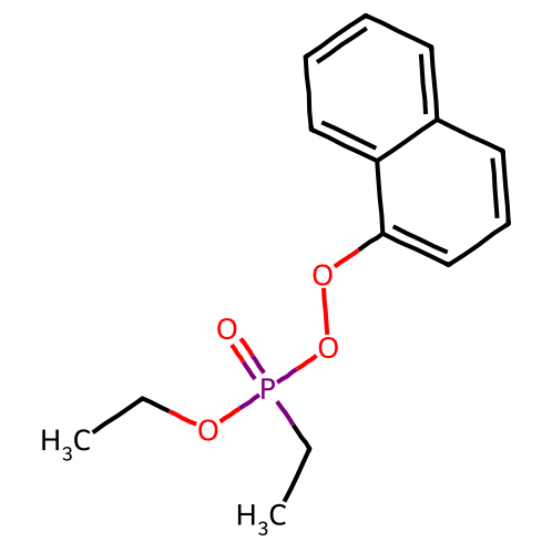 CCOP(=O)(CC)OOc1cccc2ccccc12